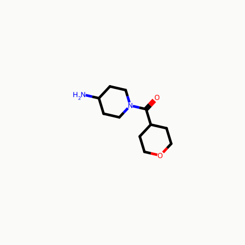 NC1CCN(C(=O)C2CCOCC2)CC1